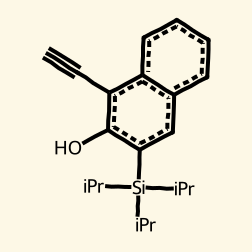 C#Cc1c(O)c([Si](C(C)C)(C(C)C)C(C)C)cc2ccccc12